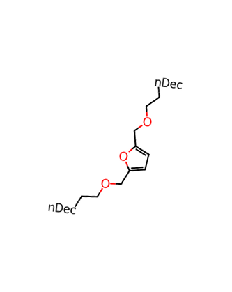 CCCCCCCCCCCCOCc1ccc(COCCCCCCCCCCCC)o1